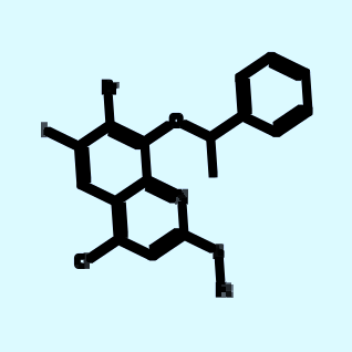 CCSc1cc(Cl)c2cc(I)c(Br)c(OC(C)c3ccccc3)c2n1